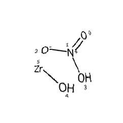 O=[N+]([O-])O.[OH][Zr]